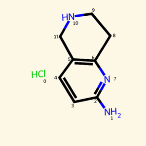 Cl.Nc1ccc2c(n1)CCNC2